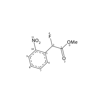 COC(=O)C(F)c1ccccc1[N+](=O)[O-]